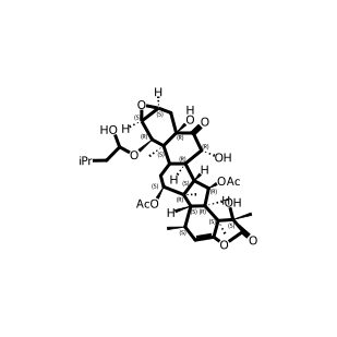 CC(=O)O[C@@H]1[C@H]2[C@H]3C(C[C@H](OC(C)=O)[C@]2(C)[C@@H]2[C@@H]1[C@]1(C)C(=C[C@H]2C)OC(=O)[C@@]1(C)O)[C@@]1(C)[C@@H](OC(O)CC(C)C)[C@H]2O[C@H]2C[C@]1(O)C(=O)[C@@H]3O